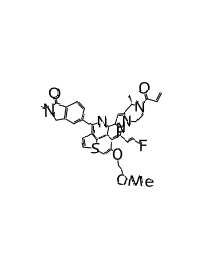 C=CC(=O)N1CCn2nc(-c3nc(-c4ccc5c(c4)CN(C)C5=O)c4ccsc4c3C(/C(=C\C)OCCOC)=C(F)/C=C/F)cc2[C@H]1C